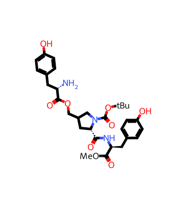 COC(=O)[C@H](Cc1ccc(O)cc1)NC(=O)[C@@H]1CC(COC(=O)[C@@H](N)Cc2ccc(O)cc2)CN1C(=O)OC(C)(C)C